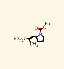 CCOC(=O)C(C)=CC1CCCN1C(=O)OC(C)(C)C